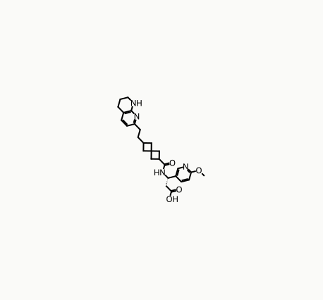 COc1ccc([C@H](CC(=O)O)NC(=O)C2CC3(CC(CCc4ccc5c(n4)NCCC5)C3)C2)cn1